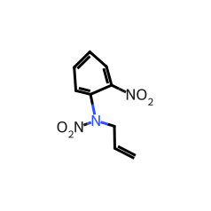 C=CCN(c1ccccc1[N+](=O)[O-])[N+](=O)[O-]